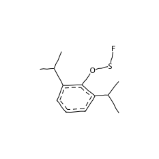 CC(C)c1cccc(C(C)C)c1OSF